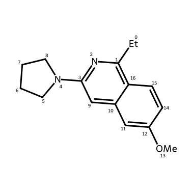 CCc1nc(N2CCCC2)cc2cc(OC)ccc12